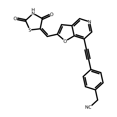 N#CCc1ccc(C#Cc2cncc3cc(/C=C4/SC(=O)NC4=O)oc23)cc1